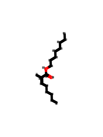 CCCCCC=C(C)C(=O)OCCCCCCCC